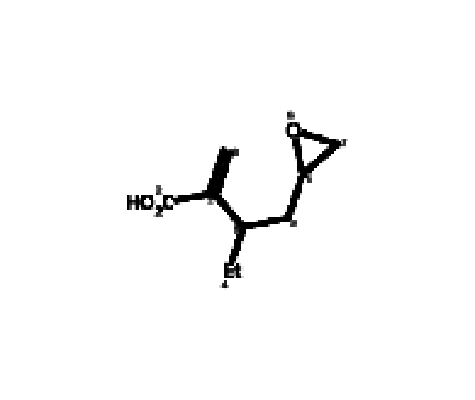 C=C(C(=O)O)C(CC)CC1CO1